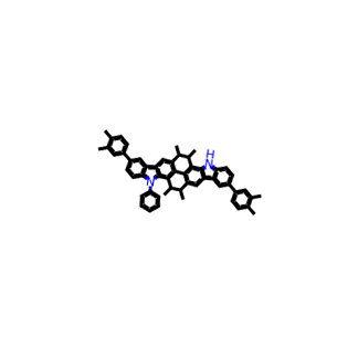 Cc1ccc(-c2ccc3[nH]c4c5c6c(cc4c3c2)C(C)C(C)c2c-6c(cc3c4cc(-c6ccc(C)c(C)c6)ccc4n(-c4ccccc4)c23)C(C)C5C)cc1C